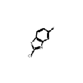 Clc1nc2cc(I)ccc2s1